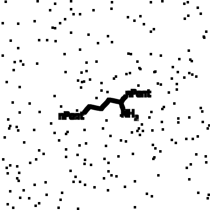 CCCCCCCCC(N)CCCCC